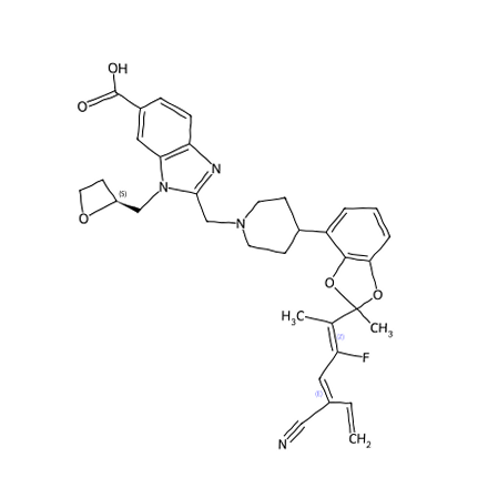 C=C/C(C#N)=C\C(F)=C(/C)C1(C)Oc2cccc(C3CCN(Cc4nc5ccc(C(=O)O)cc5n4C[C@@H]4CCO4)CC3)c2O1